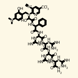 C#[N+]c1cc(C(Cl)(Cl)Cl)cnc1N(Cc1ccc(N(C)C)cc1O)C(O)C(=O)NC(C(=O)NC(NC(=N)N)C(=O)NC(NC(=N)N)C(=O)NC(NC(=N)N)C(=O)NC(NC(=N)N)C(N)=O)c1ccccc1